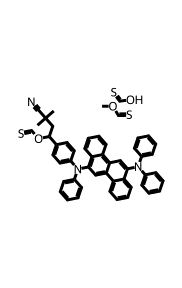 CC(C)(C#N)CC(OC=S)c1ccc(N(c2ccccc2)c2cc3c4ccccc4c(N(c4ccccc4)c4ccccc4)cc3c3ccccc23)cc1.COC=S.OC=S